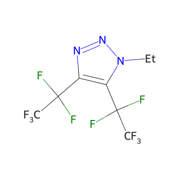 CCn1nnc(C(F)(F)C(F)(F)F)c1C(F)(F)C(F)(F)F